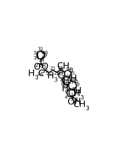 CC[C@]1(O)CC[C@@]2(C)[C@@H](CC[C@@H]3[C@@H]2CC[C@]2(C)[C@@H]([C@H](C)CCC[C@@H](C)OC(=O)c4ccccc4)CC[C@@H]32)C1